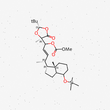 COC(=O)OC(C=C[C@@H](C)[C@H]1CCC2C(O[Si](C)(C)C)CCC[C@]21C)[C@@]1(C)O[C@H](C(C)(C)C)OC1=O